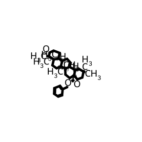 CC1(C)CC[C@]2(C(=O)OCc3ccccc3)CC[C@]3(C)C(=CC[C@@H]4[C@@]5(C)CCC(=O)C(C)(C)C5CC[C@]43C)[C@H]2C1